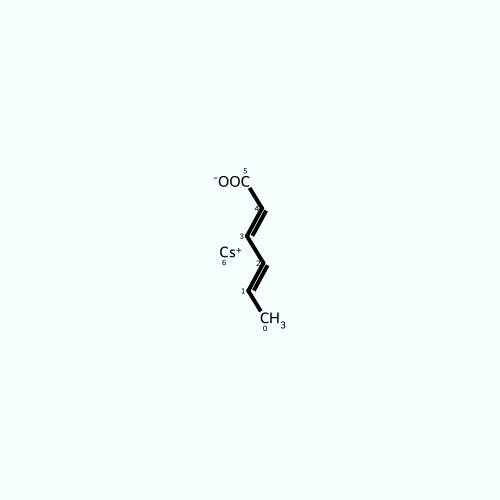 CC=CC=CC(=O)[O-].[Cs+]